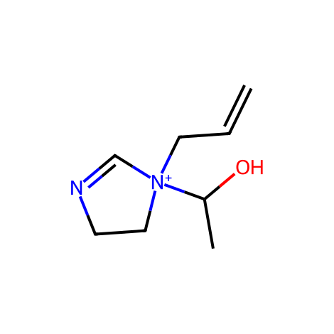 C=CC[N+]1(C(C)O)C=NCC1